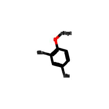 CCCCCCCOc1ccc(C(C)(C)C)cc1C(C)(C)C